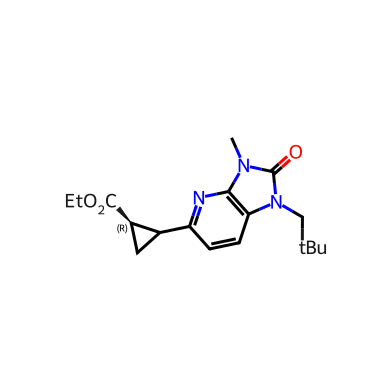 CCOC(=O)[C@@H]1CC1c1ccc2c(n1)n(C)c(=O)n2CC(C)(C)C